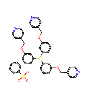 O=S(=O)([O-])c1ccccc1.c1cc(OCc2ccncc2)cc([S+](c2cccc(OCc3ccncc3)c2)c2cccc(OCc3ccncc3)c2)c1